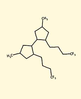 CC1CC(CCCC(F)(F)F)C(C2CC(C)CC2CCCC(F)(F)F)C1